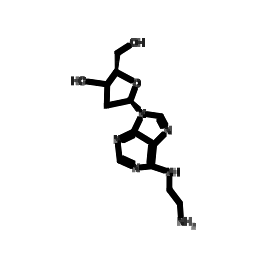 NCCNc1ncnc2c1ncn2[C@H]1CC(O)[C@@H](CO)O1